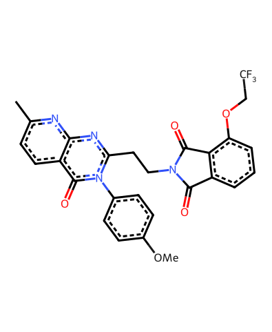 COc1ccc(-n2c(CCN3C(=O)c4cccc(OCC(F)(F)F)c4C3=O)nc3nc(C)ccc3c2=O)cc1